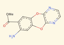 COC(=O)c1cc2c(cc1N)Oc1nccnc1O2